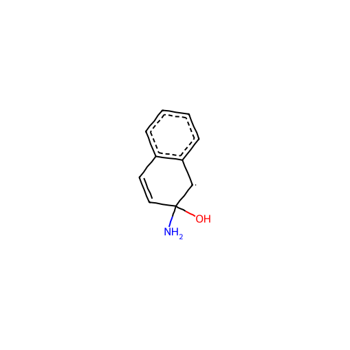 NC1(O)[CH]c2ccccc2C=C1